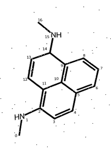 CNc1ccc2cccc3c2c1C=CC3NC